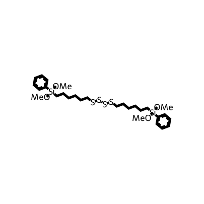 CO[Si](CCCCCCSSSSCCCCCC[Si](OC)(OC)c1ccccc1)(OC)c1ccccc1